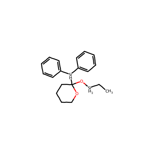 CC[SiH2]OC1([SiH](c2ccccc2)c2ccccc2)CCCCO1